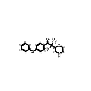 CC(C)(C(=O)c1ccc(Sc2ccccc2)cc1)C1CNCCO1